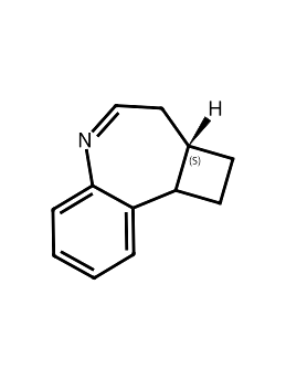 C1=Nc2ccccc2C2CC[C@H]2C1